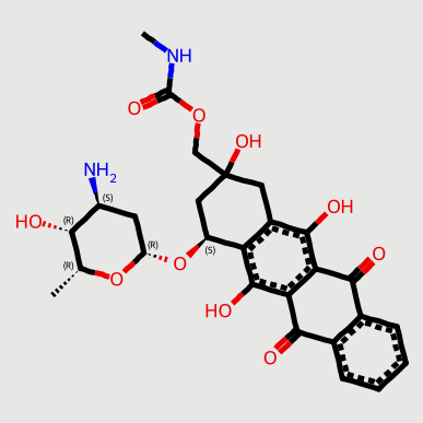 CNC(=O)OCC1(O)Cc2c(O)c3c(c(O)c2[C@@H](O[C@H]2C[C@H](N)[C@@H](O)[C@@H](C)O2)C1)C(=O)c1ccccc1C3=O